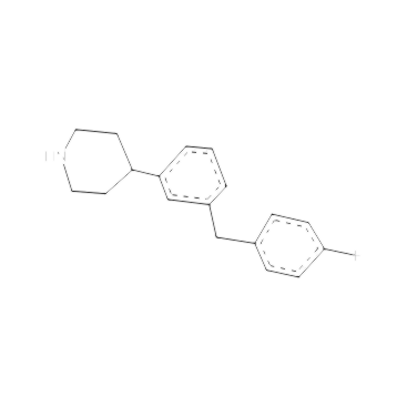 Fc1ccc(Cc2cccc(C3CCNCC3)c2)cc1